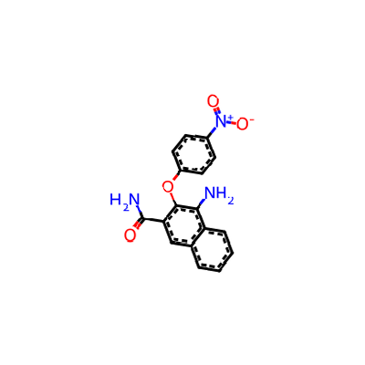 NC(=O)c1cc2ccccc2c(N)c1Oc1ccc([N+](=O)[O-])cc1